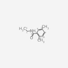 CCNC(=O)c1cc(C)ccc1C